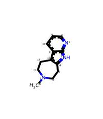 CN1CCc2[nH]c3ncccc3c2CC1